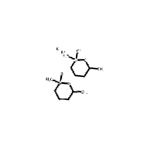 CC1CCC[Si](C)([O-])O1.CC1CCC[Si](C)([O-])O1.[K+].[K+]